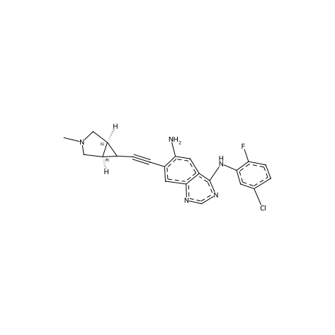 CN1C[C@@H]2C(C#Cc3cc4ncnc(Nc5cc(Cl)ccc5F)c4cc3N)[C@@H]2C1